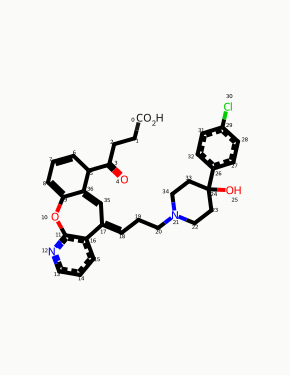 O=C(O)CCC(=O)C1C=CC=C2Oc3ncccc3C(=CCCN3CCC(O)(c4ccc(Cl)cc4)CC3)C=C21